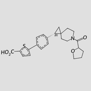 O=C(O)c1ccc(-c2ccc([C@@H]3CC34CCN(C(=O)C3CCCO3)CC4)cc2)s1